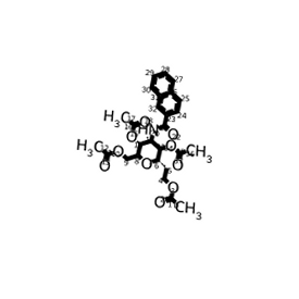 CC(=O)OCC[C@@H]1OC(COC(C)=O)[C@H](OC(C)=O)C(NC(=O)c2ccc3ccccc3c2)C1OC(C)=O